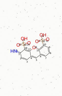 N=c1ccc2cc3cccc(S(=O)(=O)O)c3oc-2c1S(=O)(=O)O